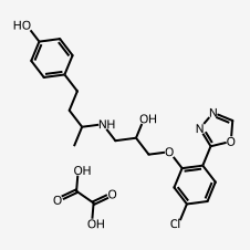 CC(CCc1ccc(O)cc1)NCC(O)COc1cc(Cl)ccc1-c1nnco1.O=C(O)C(=O)O